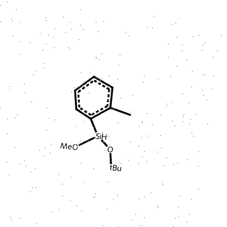 CO[SiH](OC(C)(C)C)c1ccccc1C